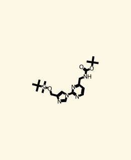 CC(C)(C)OC(=O)NCc1ccnc(-n2cnc(CO[Si](C)(C)C(C)(C)C)c2)n1